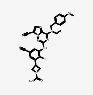 CCN(Cc1ccc(OC)cc1)c1nc(Nc2cc(C#N)cc(C3CN(C(=O)O)C3)c2Cl)nn2c(C#N)cnc12